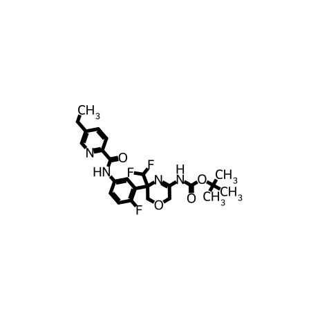 CCc1ccc(C(=O)Nc2ccc(F)c(C3(C(F)F)COCC(NC(=O)OC(C)(C)C)=N3)c2)nc1